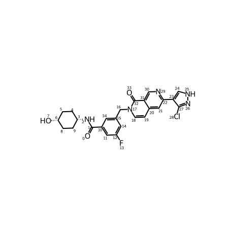 O=C(N[C@H]1CC[C@@H](O)CC1)c1cc(F)cc(Cn2ccc3cc(-c4c[nH]nc4Cl)ncc3c2=O)c1